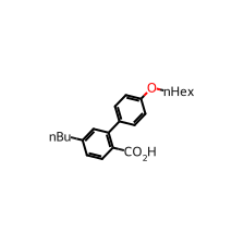 CCCCCCOc1ccc(-c2cc(CCCC)ccc2C(=O)O)cc1